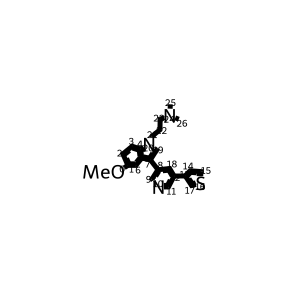 COc1ccc2c(c1)c(-c1cncc(-c3ccsc3)c1)cn2CCCN(C)C